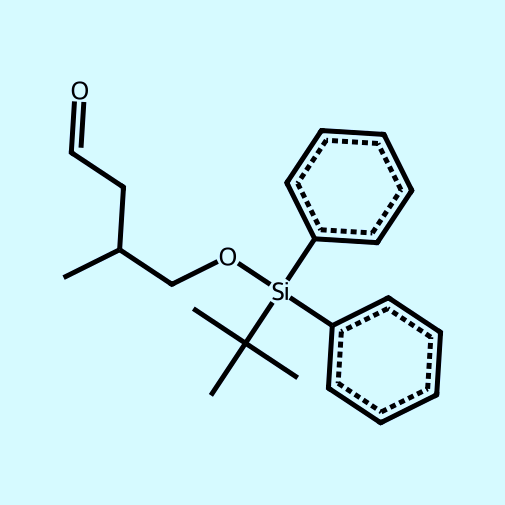 CC(CC=O)CO[Si](c1ccccc1)(c1ccccc1)C(C)(C)C